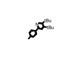 Cc1ccc(-c2cc(C(C)(C)C)c(C(C)(C)C)cn2)cc1